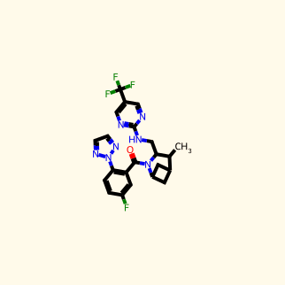 CC1C2CC(C2)N(C(=O)c2cc(F)ccc2-n2nccn2)C1CNc1ncc(C(F)(F)F)cn1